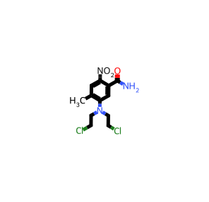 Cc1cc([N+](=O)[O-])c(C(N)=O)cc1N(CCCl)CCCl